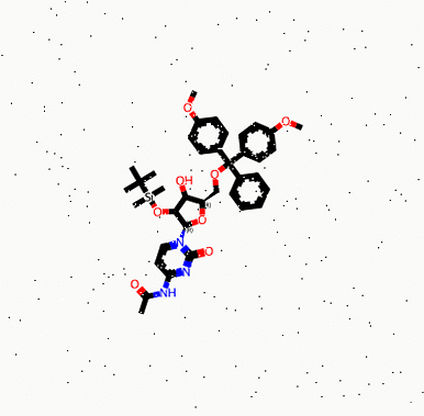 COc1ccc(C(OC[C@H]2O[C@@H](n3ccc(NC(C)=O)nc3=O)C(O[Si](C)(C)C(C)(C)C)C2O)(c2ccccc2)c2ccc(OC)cc2)cc1